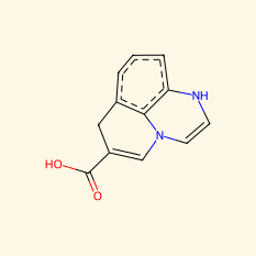 O=C(O)C1=CN2C=CNc3cccc(c32)C1